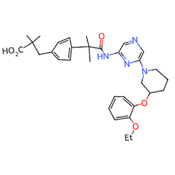 CCOc1ccccc1OC1CCCN(c2cncc(NC(=O)C(C)(C)c3ccc(CC(C)(C)C(=O)O)cc3)n2)C1